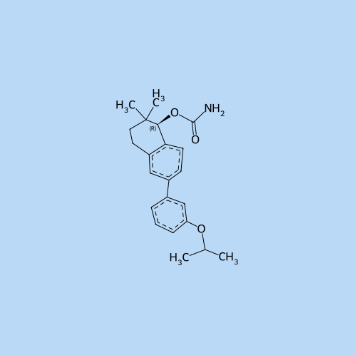 CC(C)Oc1cccc(-c2ccc3c(c2)CCC(C)(C)[C@H]3OC(N)=O)c1